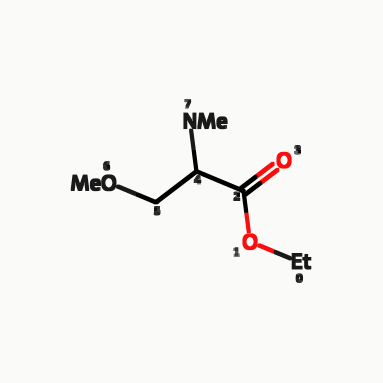 CCOC(=O)C(COC)NC